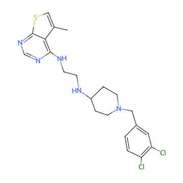 Cc1csc2ncnc(NCCNC3CCN(Cc4ccc(Cl)c(Cl)c4)CC3)c12